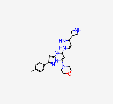 Cc1ccc(-c2cc3nc(N/C=C\C(=N)C4CNC4)cc(N4CCOCC4)n3n2)cc1